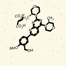 COc1ccc(-c2ccc3c(N4CCOC[C@@H]4C)nc(N4CCOC[C@@H]4C)nc3n2)cc1CO.O=C(O)C=CC(=O)O